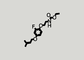 CCOC(=O)NCCOc1ccc(OCC=C(C)C)cc1F